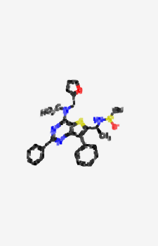 C[C@H](N[S+]([O-])C(C)(C)C)c1sc2c(N(Cc3ccco3)C(=O)O)nc(-c3ccccc3)nc2c1-c1ccccc1